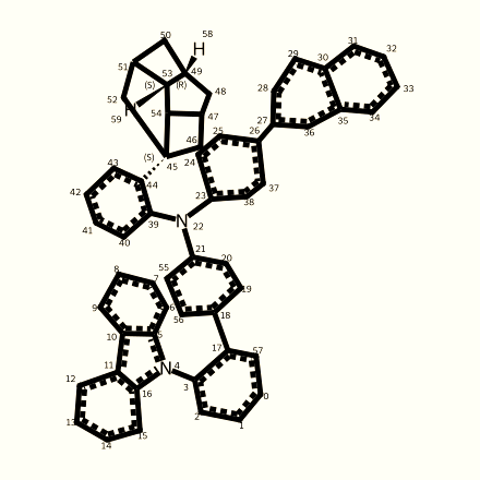 c1ccc(-n2c3ccccc3c3ccccc32)c(-c2ccc(N(c3ccc(-c4ccc5ccccc5c4)cc3)c3ccccc3[C@]34CC5C[C@H]6CC(C3)[C@H]6C54)cc2)c1